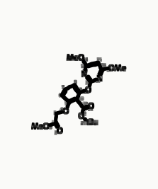 COC(=O)COc1cccc(Oc2nc(OC)cc(OC)n2)c1C(=O)OC(C)(C)C